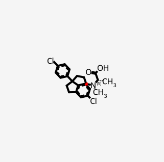 C[C@@H](C(=O)O)N(C)CCCC1(c2ccc(Cl)cc2)CCc2cc(Cl)ccc21